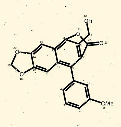 COc1cccc(-c2c3c(CO)c(c4cc5c(cc24)OCO5)OC3=O)c1